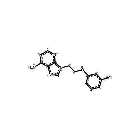 Nc1ncnc2c1ncn2CCOc1cccc(Cl)c1